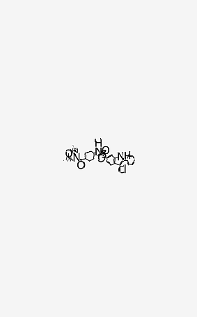 C[C@@H]1CN(C(=O)C2CCC(NS(=O)(=O)c3ccc4c(Cl)c(-c5ccccc5)[nH]c4c3)CC2)C[C@H](C)O1